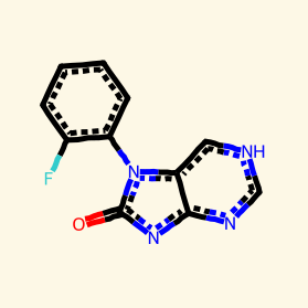 O=c1nc2nc[nH]cc-2n1-c1ccccc1F